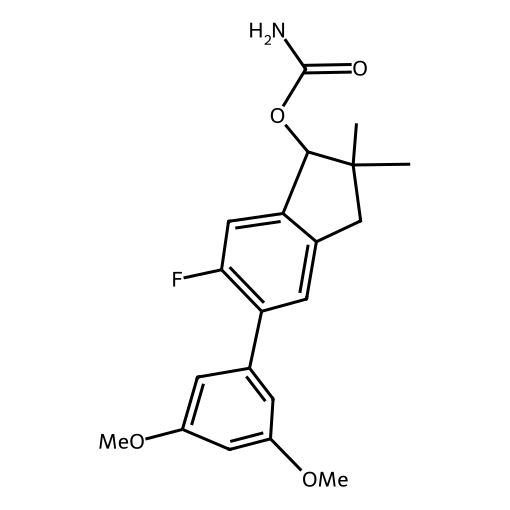 COc1cc(OC)cc(-c2cc3c(cc2F)C(OC(N)=O)C(C)(C)C3)c1